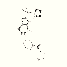 Cc1ccn(C2(c3nc4ccc(N5CCCC(C(=O)N6CCCC6)C5)nc4[nH]3)CC2)n1